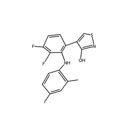 Cc1cc(I)ccc1Nc1c(-c2csnc2O)ccc(F)c1F